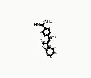 Cl.N=C(N)c1ccc(C=C2C(=O)Nc3ncccc32)cc1